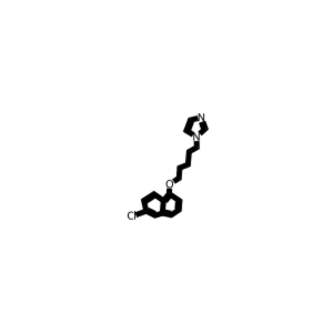 Clc1ccc2c(OCCCCCn3ccnc3)cccc2c1